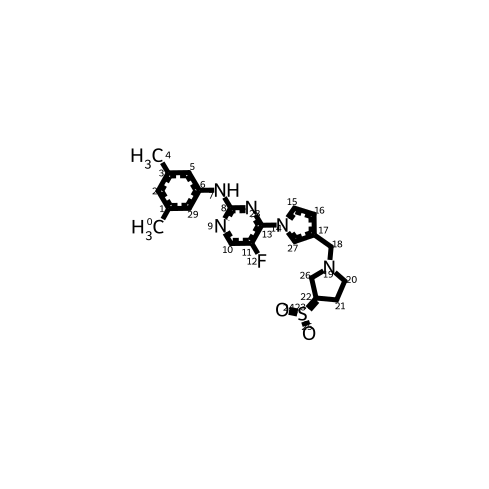 Cc1cc(C)cc(Nc2ncc(F)c(-n3ccc(CN4CCC(=S(=O)=O)C4)c3)n2)c1